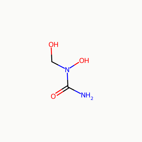 NC(=O)N(O)CO